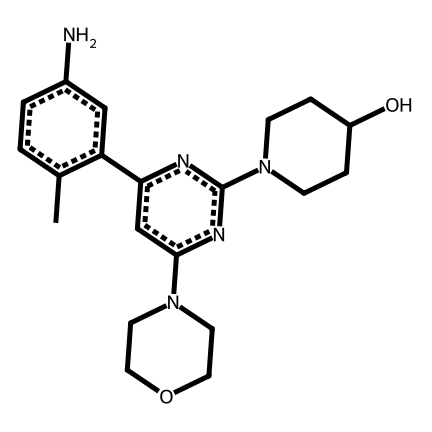 Cc1ccc(N)cc1-c1cc(N2CCOCC2)nc(N2CCC(O)CC2)n1